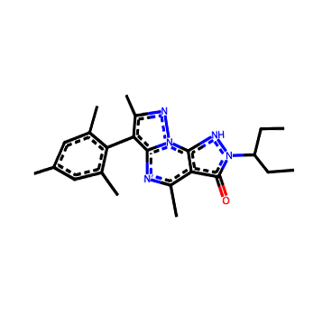 CCC(CC)n1[nH]c2c(c(C)nc3c(-c4c(C)cc(C)cc4C)c(C)nn32)c1=O